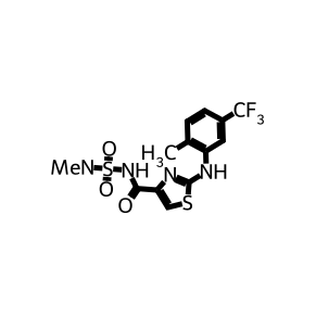 CNS(=O)(=O)NC(=O)c1csc(Nc2cc(C(F)(F)F)ccc2C)n1